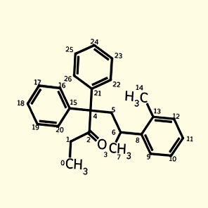 CCC(=O)C(CC(C)c1ccccc1C)(c1ccccc1)c1ccccc1